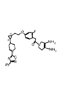 CC(C)c1noc(N2CCC([C@H]3C[C@H]3CCOc3ccc(CC(=O)N4CCC(N)=C(N)C4)c(F)c3)CC2)n1